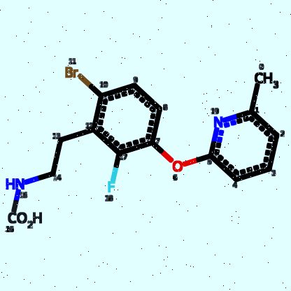 Cc1cccc(Oc2ccc(Br)c(CCNC(=O)O)c2F)n1